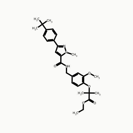 CCOC(=O)C(C)(C)Oc1ccc(CNC(=O)c2cc(-c3ccc(C(C)(C)C)cc3)nn2C)cc1OC